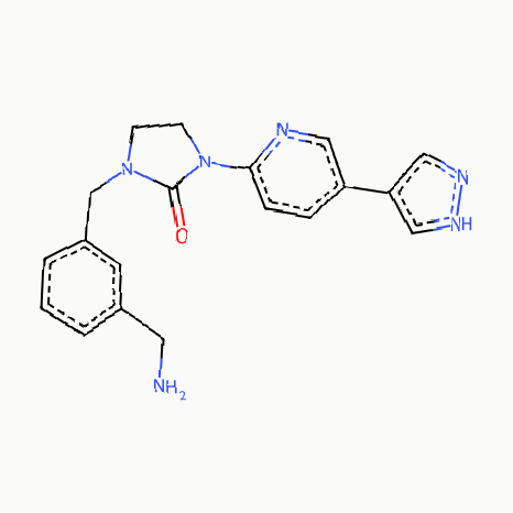 NCc1cccc(CN2CCN(c3ccc(-c4cn[nH]c4)cn3)C2=O)c1